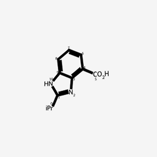 CC(C)c1nc2c(C(=O)O)cccc2[nH]1